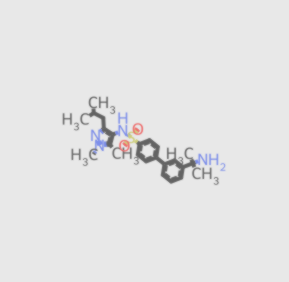 Cc1c(NS(=O)(=O)c2ccc(-c3cccc(C(C)(C)N)c3)cc2)c(CC(C)C)nn1C